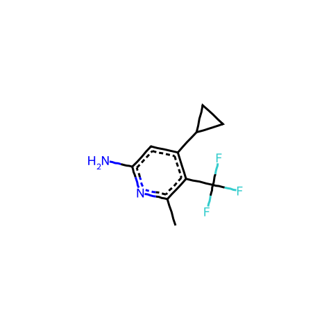 Cc1nc(N)cc(C2CC2)c1C(F)(F)F